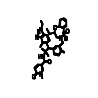 CC[C@@H]1CN(Cc2cc(C(c3ccc4c(nnn4CC)c3C)C(C)(C)NC(=O)c3ccc(=O)n(C)c3)ccc2C)S(=O)(=O)c2ccccc2O1